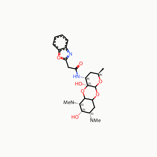 CN[C@H]1CC2OC3O[C@H](C)C[C@@H](NC(=O)Cc4nc5ccccc5o4)[C@]3(O)OC2[C@@H](NC)[C@H]1O